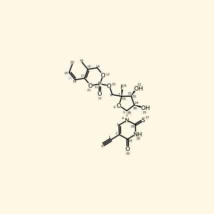 C#Cc1cn([C@@H]2O[C@](F)(COP3(=O)OCC(C)=C(/C=C\C)O3)[C@@H](O)[C@H]2O)c(=S)[nH]c1=O